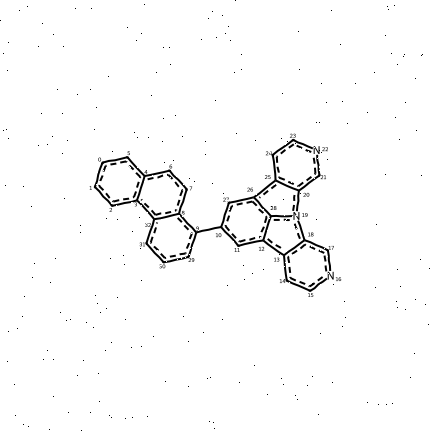 c1ccc2c(c1)ccc1c(-c3cc4c5ccncc5n5c6cnccc6c(c3)c45)cccc12